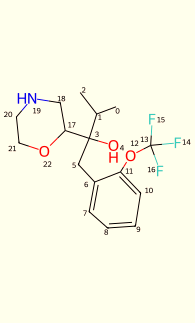 CC(C)C(O)(Cc1ccccc1OC(F)(F)F)C1CNCCO1